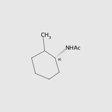 CC(=O)N[C@@H]1CCCCC1C